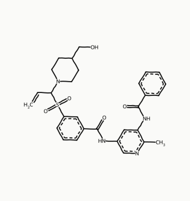 C=CC(N1CCC(CO)CC1)S(=O)(=O)c1cccc(C(=O)Nc2cnc(C)c(NC(=O)c3ccccc3)c2)c1